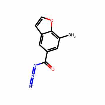 Bc1cc(C(=O)N=[N+]=[N-])cc2ccoc12